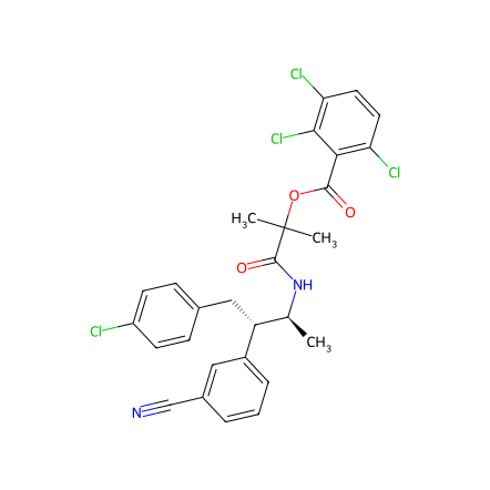 C[C@H](NC(=O)C(C)(C)OC(=O)c1c(Cl)ccc(Cl)c1Cl)[C@@H](Cc1ccc(Cl)cc1)c1cccc(C#N)c1